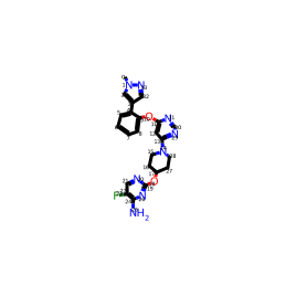 Cn1cc(-c2ccccc2Oc2cc(N3CCC(Oc4ncc(F)c(N)n4)CC3)ncn2)cn1